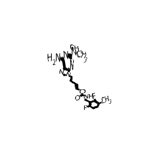 Cc1ccc(F)c(CNC(=O)OCCCCn2cnc3c(N)nc(N(C)C)nc32)c1F